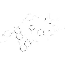 Cc1ncsc1-c1ccc([C@H](C)NC(=O)[C@@H]2C[C@@H](O)CN2C(=O)[C@@H](NC(=O)COCC2CCN(CCOc3nc(N4CCN[C@@H](CC#N)C4)c4cc(Cl)c(-c5nc(N)cc6ccccc56)c(F)c4n3)CC2)C(C)(C)C)cc1